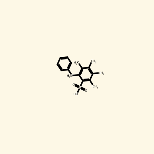 Cc1c(C)c(C)c(S(=O)(=O)O)c([SiH2]c2ccccc2)c1C